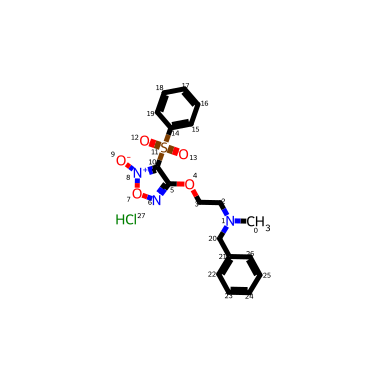 CN(CCOc1no[n+]([O-])c1S(=O)(=O)c1ccccc1)Cc1ccccc1.Cl